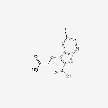 O=C(O)COc1c(C(=O)O)sc2ncc(I)cc12